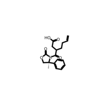 C=CCCC(CC(=O)O)C(=O)N1C(=O)OC[C@]1(C)c1ccccc1